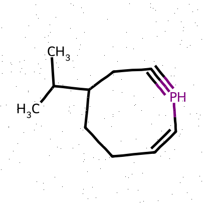 CC(C)C1CC#[PH]/C=C\CC1